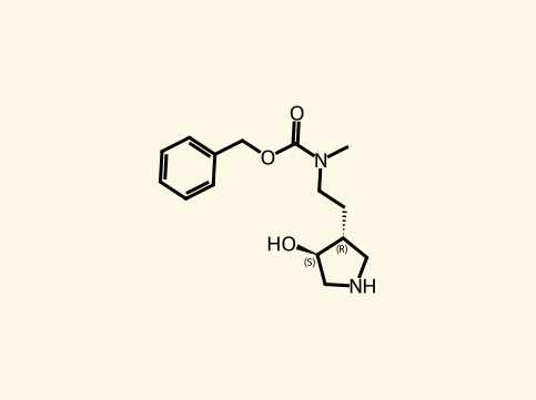 CN(CC[C@@H]1CNC[C@H]1O)C(=O)OCc1ccccc1